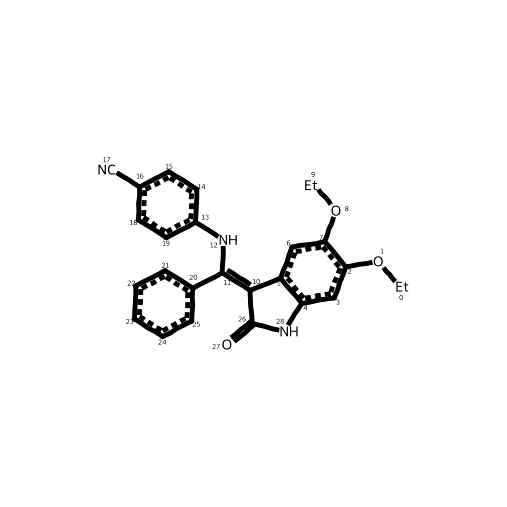 CCOc1cc2c(cc1OCC)C(=C(Nc1ccc(C#N)cc1)c1ccccc1)C(=O)N2